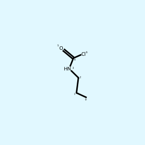 CCCNC(=O)Cl